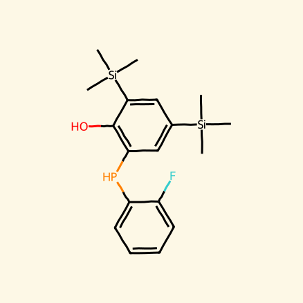 C[Si](C)(C)c1cc(Pc2ccccc2F)c(O)c([Si](C)(C)C)c1